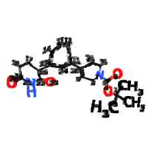 CC(C)(C)OC(=O)N1CC=C(c2cccc(C3CCC(=O)NC3=O)c2)CC1